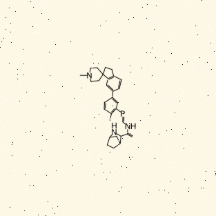 C=C(N/C=P/c1cc(-c2ccc3c(c2)C2(CC3)CCN(C)CC2)ccc1C)C1NC2CCC1C2